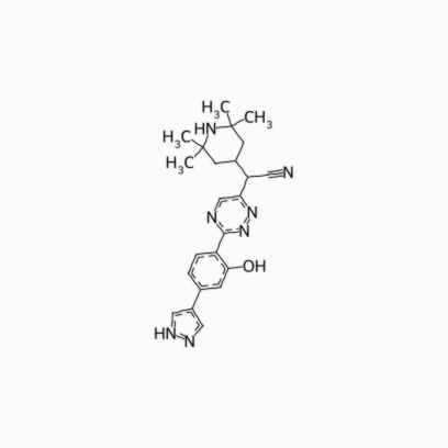 CC1(C)CC(C(C#N)c2cnc(-c3ccc(-c4cn[nH]c4)cc3O)nn2)CC(C)(C)N1